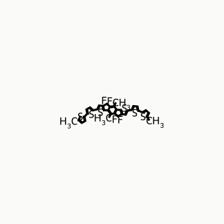 Cc1ccc(-c2ccc(-c3cc4c(s3)-c3c(C)c5c(c(C)c3C4(F)F)-c3sc(-c4ccc(-c6ccc(C)s6)s4)cc3C5(F)F)s2)s1